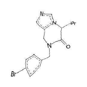 CC(C)C1C(=O)N(Cc2ccc(Br)cc2)Cc2cncn21